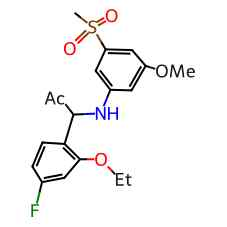 CCOc1cc(F)ccc1C(Nc1cc(OC)cc(S(C)(=O)=O)c1)C(C)=O